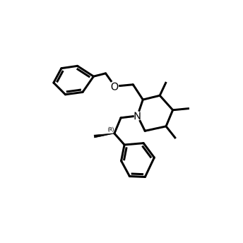 CC1CN(C[C@H](C)c2ccccc2)C(COCc2ccccc2)C(C)C1C